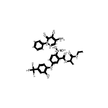 CCOC(=O)C(C)OC(=O)c1cc(Oc2ccc(C(F)(F)F)cc2Cl)ccc1[N+](=O)[O-].Nc1cnn(-c2ccccc2)c(=O)c1Cl